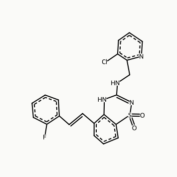 O=S1(=O)N=C(NCc2ncccc2Cl)Nc2c(C=Cc3ccccc3F)cccc21